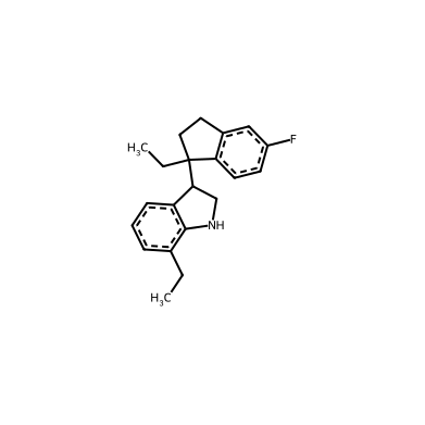 CCc1cccc2c1NCC2C1(CC)CCc2cc(F)ccc21